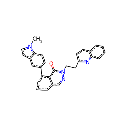 Cn1ccc2cc(-c3cccc4cnn(CCc5ccc6ccccc6n5)c(=O)c34)ccc21